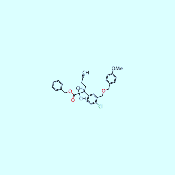 C#CCCC(c1ccc(Cl)c(COCc2ccc(OC)cc2)c1)C(C)(C)C(=O)OCc1ccccc1